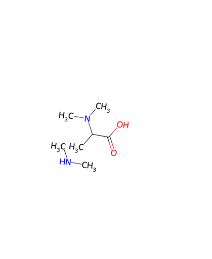 CC(C(=O)O)N(C)C.CNC